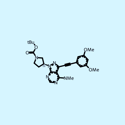 CNc1ncnc2c1c(C#Cc1cc(OC)cc(OC)c1)nn2[C@H]1CCN(C(=O)OC(C)(C)C)C1